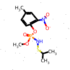 COP(=O)(NSC(C)C)Oc1ccc(C)cc1[N+](=O)[O-]